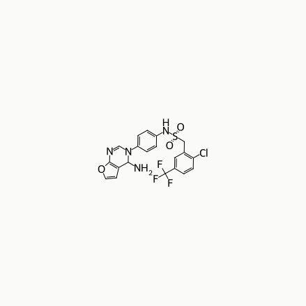 NC1c2ccoc2N=CN1c1ccc(NS(=O)(=O)Cc2cc(C(F)(F)F)ccc2Cl)cc1